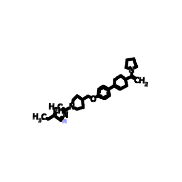 C=C(/C=N\C(=C)N1CCC(COc2ccc(C3=CCC(C(=C)N4CCCC4)CC3)cc2)CC1)CC